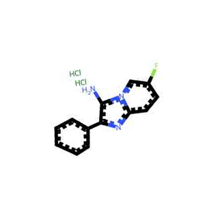 Cl.Cl.Nc1c(-c2ccccc2)nc2ccc(F)cn12